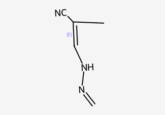 C=NN/C=C(\C)C#N